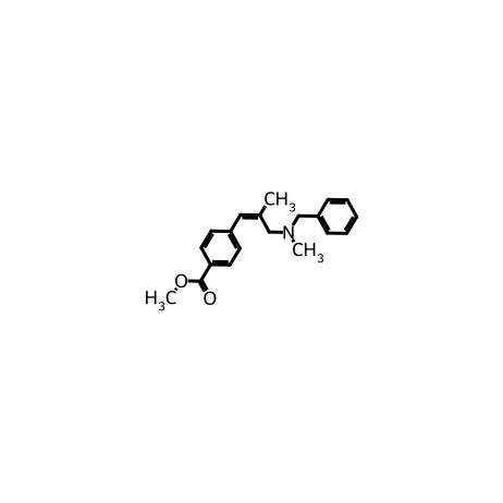 COC(=O)c1ccc(C=C(C)CN(C)Cc2ccccc2)cc1